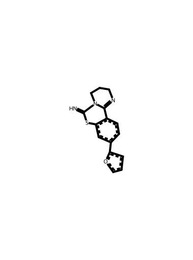 N=C1Sc2cc(-c3ccco3)ccc2C2=NCCCN12